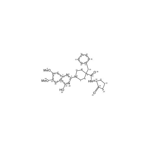 COc1cc2nc(N3CCC(Cc4ccccc4)(C(=O)NC4CCSC4=O)CC3)nc(O)c2cc1OC